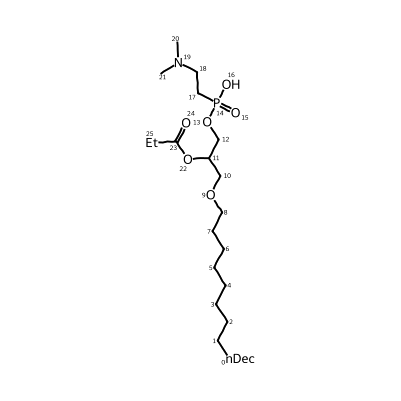 CCCCCCCCCCCCCCCCCCOCC(COP(=O)(O)CCN(C)C)OC(=O)CC